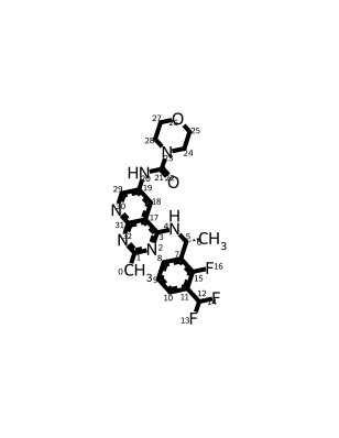 Cc1nc(N[C@H](C)c2cccc(C(F)F)c2F)c2cc(NC(=O)N3CCOCC3)cnc2n1